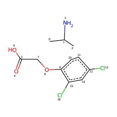 CC(C)N.O=C(O)COc1ccc(Cl)cc1Cl